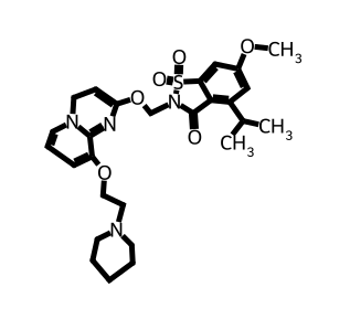 COc1cc(C(C)C)c2c(c1)S(=O)(=O)N(COC1=CCN3C=CC=C(OCCN4CCCCC4)C3=N1)C2=O